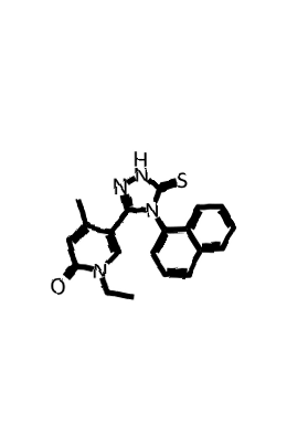 CCn1cc(-c2n[nH]c(=S)n2-c2cccc3ccccc23)c(C)cc1=O